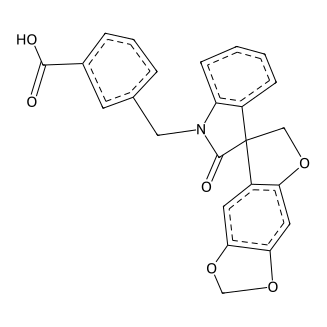 O=C(O)c1cccc(CN2C(=O)C3(COc4cc5c(cc43)OCO5)c3ccccc32)c1